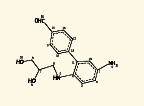 Nc1ccc(NCC(O)CO)c(-c2ccc(C=O)cc2)c1